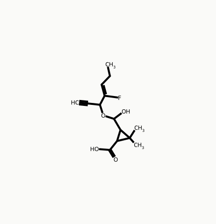 C#CC(OC(O)C1C(C(=O)O)C1(C)C)C(F)=CCC